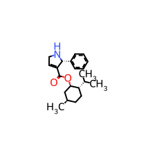 CC(C)[C@@H]1CC[C@@H](C)C[C@H]1OC(=O)C1=CCN[C@@H]1c1ccccc1